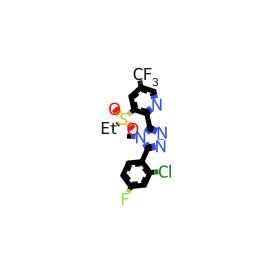 CCS(=O)(=O)c1cc(C(F)(F)F)cnc1-c1nnc(-c2ccc(F)cc2Cl)n1C